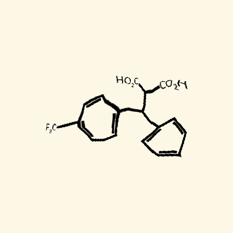 O=C(O)C(C(=O)O)C(c1ccccc1)c1ccc(C(F)(F)F)cc1